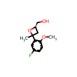 COc1ccc(F)cc1C1(C)C[C@H](CO)O1